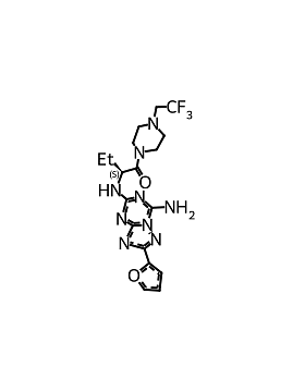 CC[C@H](Nc1nc(N)n2nc(-c3ccco3)nc2n1)C(=O)N1CCN(CC(F)(F)F)CC1